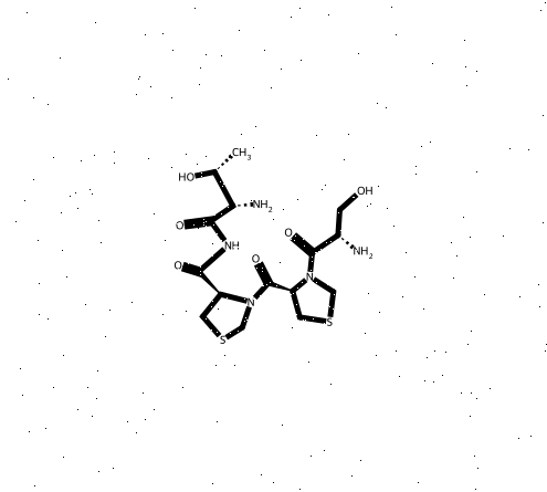 C[C@@H](O)[C@H](N)C(=O)NC(=O)[C@@H]1CSCN1C(=O)[C@@H]1CSCN1C(=O)[C@@H](N)CO